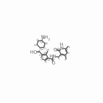 Cc1cc(C)c(CNC(=O)c2csc(C(O)[C@H]3CC[C@H](N)CC3)c2C)c(=O)[nH]1